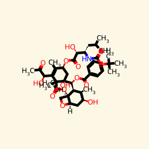 CC(=O)O[C@@]12CO[C@@H]1C[C@H](O)[C@H](C)[C@@H]2[C@H](OC(=O)c1ccccc1)[C@]1(O)C[C@H](OC(=O)[C@H](O)[C@H](CC(C)C)NC(=O)OC(C)(C)C)C(C)=C([C@@H](O)C(C)=O)C1(C)C